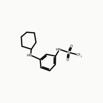 O=S(=O)(Nc1cc[c]c(NC2CCCCC2)c1)C(F)(F)F